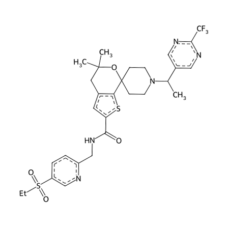 CCS(=O)(=O)c1ccc(CNC(=O)c2cc3c(s2)C2(CCN(C(C)c4cnc(C(F)(F)F)nc4)CC2)OC(C)(C)C3)nc1